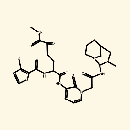 CNC(=O)C(=O)CC[C@H](NC(=O)c1sccc1Br)C(=O)Nc1cccn(CC(=O)NC2N(C)CC3CCCN2C3)c1=O